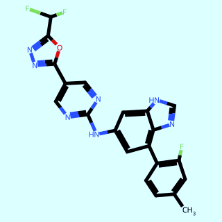 Cc1ccc(-c2cc(Nc3ncc(-c4nnc(C(F)F)o4)cn3)cc3[nH]cnc23)c(F)c1